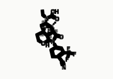 CCN(C(=O)O)[C@@H]1C[C@]23CCO[C@@H]4[C@H]2[C@@H](C(=O)N4c2ccc(C#N)c(C(F)(F)F)c2)[C@@]1(C)O3